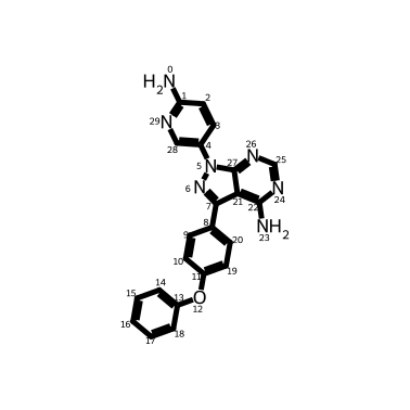 Nc1ccc(-n2nc(-c3ccc(Oc4ccccc4)cc3)c3c(N)ncnc32)cn1